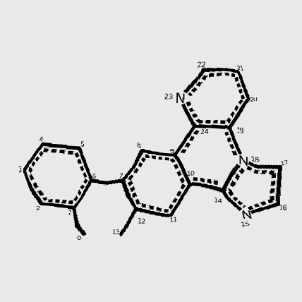 Cc1ccccc1-c1cc2c(cc1C)c1nccn1c1cccnc21